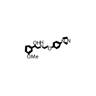 COc1cccc(C(O)CNCCOc2ccc(-n3ccnc3)cc2)c1